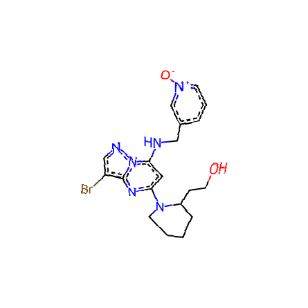 [O-][n+]1cccc(CNc2cc(N3CCCCC3CCO)nc3c(Br)cnn23)c1